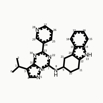 CC(C)c1cnn2c(NC3CCc4[nH]c5ccccc5c4C3)nc(-c3cccnc3)nc12